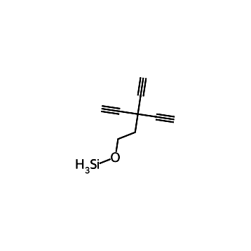 C#CC(C#C)(C#C)CCO[SiH3]